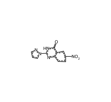 O=c1[nH]c(-n2cccn2)nc2ccc([N+](=O)[O-])cc12